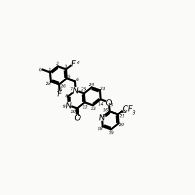 Cc1cc(F)c(Cn2cnc(=O)c3cc(Oc4ncccc4C(F)(F)F)ccc32)c(F)c1